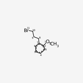 COc1ccccc1CCCBr